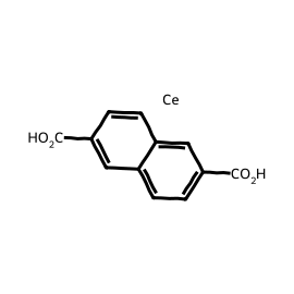 O=C(O)c1ccc2cc(C(=O)O)ccc2c1.[Ce]